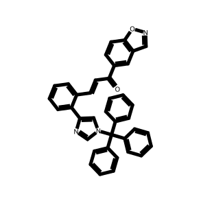 O=C(C=Cc1ccccc1-c1cn(C(c2ccccc2)(c2ccccc2)c2ccccc2)cn1)c1ccc2oncc2c1